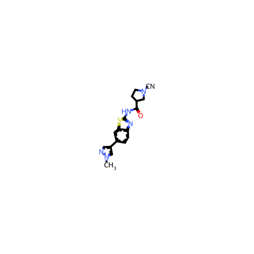 Cn1cc(-c2ccc3nc(NC(=O)C4CCN(C#N)C4)sc3c2)cn1